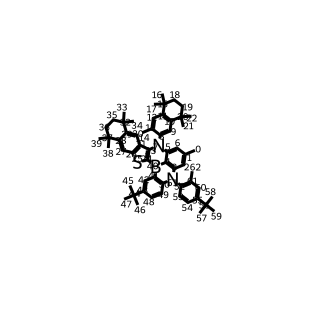 Cc1cc2c3c(c1)N(c1cc4c(cc1C)C(C)(C)CCC4(C)C)c1c(sc4cc5c(cc14)C(C)(C)CCC5(C)C)B3c1cc(C(C)(C)C)ccc1N2c1ccc(C(C)(C)C)cc1C